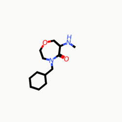 CNC1COCCN(CC2CCCCC2)C1=O